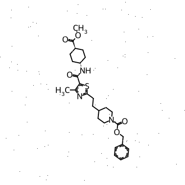 COC(=O)[C@H]1CC[C@H](NC(=O)c2sc(CCC3CCN(C(=O)OCc4ccccc4)CC3)nc2C)CC1